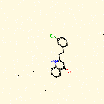 O=c1cc(CCc2cccc(Cl)c2)[nH]c2ccccc12